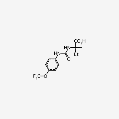 CC[C@@](C)(NC(=O)Nc1ccc(OC(F)(F)F)cc1)C(=O)O